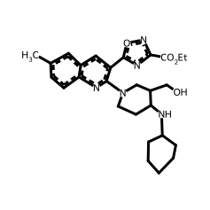 CCOC(=O)c1noc(-c2cc3cc(C)ccc3nc2N2CCC(NC3CCCCC3)C(CO)C2)n1